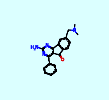 CN(C)Cc1ccc2c(c1)-c1nc(N)nc(-c3ccccc3)c1C2=O